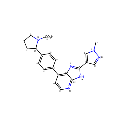 Cn1cc(-c2nc3c(-c4ccc(C5CCCN5C(=O)O)cc4)ccnc3[nH]2)cn1